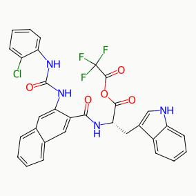 O=C(Nc1ccccc1Cl)Nc1cc2ccccc2cc1C(=O)N[C@@H](Cc1c[nH]c2ccccc12)C(=O)OC(=O)C(F)(F)F